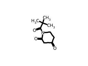 CC(C)(C)C(=O)N1CCC(=O)CC1=O